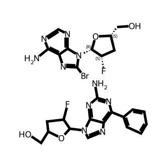 Nc1nc(-c2ccccc2)c2ncn(C3OC(CO)CC3F)c2n1.Nc1ncnc2c1nc(Br)n2[C@@H]1O[C@H](CO)C[C@@H]1F